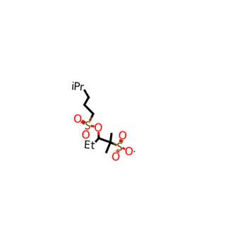 CCC(OS(=O)(=O)CCCC(C)C)C(C)(C)S([O])(=O)=O